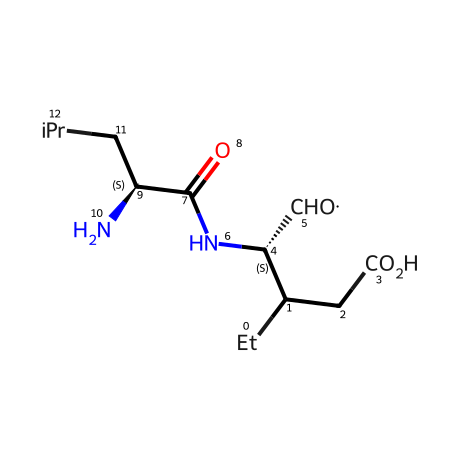 CCC(CC(=O)O)[C@@H]([C]=O)NC(=O)[C@@H](N)CC(C)C